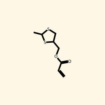 C=CC(=O)OCC1CSC(C)S1